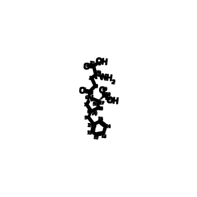 N[C@@H](CCC(=O)N1C[C@H](Cc2ccccc2)C[C@H]1C(=O)O)C(=O)O